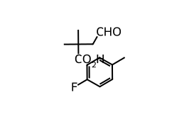 CC(C)(CC=O)C(=O)O.Cc1ccc(F)cc1